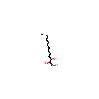 CCCCCCCCC(O)C(O)CCCCCCCCOC(C)=O